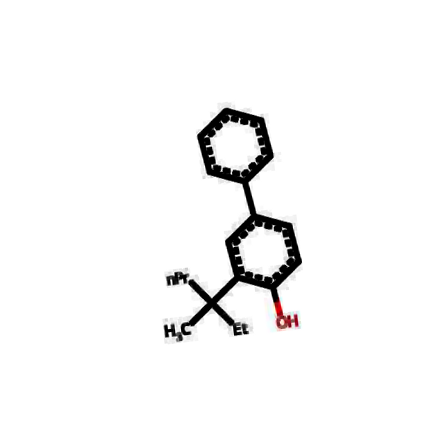 CCCC(C)(CC)c1cc(-c2ccccc2)ccc1O